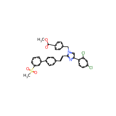 COC(=O)c1ccc(Cn2cc(-c3ccc(Cl)cc3Cl)nc2C=Cc2ccc(-c3cccc(S(C)(=O)=O)c3)cc2)cc1